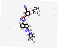 CC(C)Oc1ccc(-c2nc(-c3cccc4c3CC[C@H]4NCN3CC[C@@H](C)C3)no2)cc1C#N